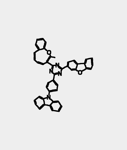 Cc1oc2ccccc2ccccc1-c1nc(-c2ccc(-n3c4ccccc4c4ccccc43)cc2)nc(-c2ccc3c(c2)oc2ccccc23)n1